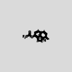 CC1C=Cc2ccc(OC(=O)C(F)(F)F)c3c2[C@@H]1CC3